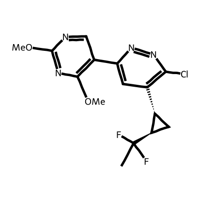 COc1ncc(-c2cc([C@@H]3C[C@H]3C(C)(F)F)c(Cl)nn2)c(OC)n1